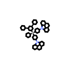 c1ccc(-c2cc(-c3ccccc3)cc([Si](c3ccccc3)(c3ccc(-n4c5cccc6ccc7cccc4c7c65)cc3)c3ccc(-n4c5cccc6ccc7cccc4c7c65)cc3)c2)cc1